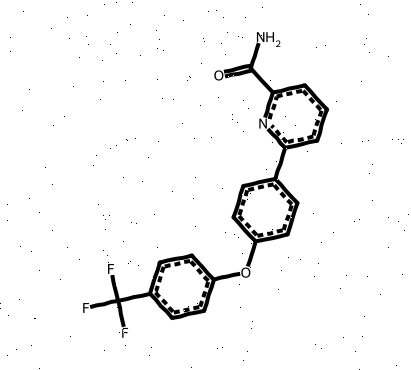 NC(=O)c1cccc(-c2ccc(Oc3ccc(C(F)(F)F)cc3)cc2)n1